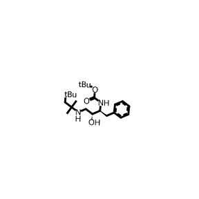 CC(C)(C)CC(C)(C)NC[C@@H](O)[C@H](Cc1ccccc1)NC(=O)OC(C)(C)C